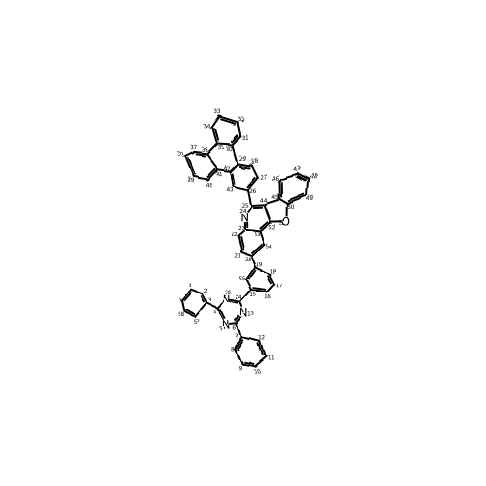 c1ccc(-c2nc(-c3ccccc3)nc(-c3cccc(-c4ccc5nc(-c6ccc7c8ccccc8c8ccccc8c7c6)c6c7ccccc7oc6c5c4)c3)n2)cc1